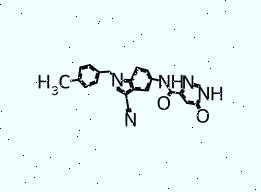 Cc1ccc(Cn2cc(C#N)c3cc(NC(=O)c4cc(=O)[nH]cn4)ccc32)cc1